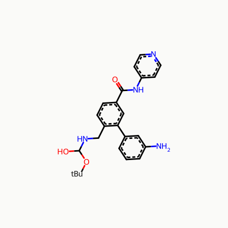 CC(C)(C)OC(O)NCc1ccc(C(=O)Nc2ccncc2)cc1-c1cccc(N)c1